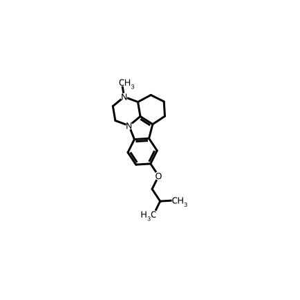 CC(C)COc1ccc2c(c1)c1c3n2CCN(C)C3CCC1